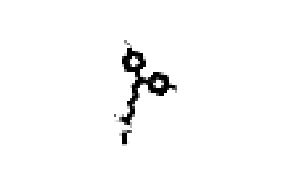 CCOC(=O)CCCC=C(c1ccc(F)cc1)c1ccc(F)cc1